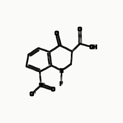 O=C(O)C1CN(F)c2c(cccc2[N+](=O)[O-])C1=O